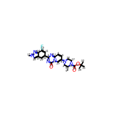 C[C@H]1CN(c2ccc3nc(-c4cc(F)c5nn(C)cc5c4)nc(=O)n3c2)CCN1C(=O)OC(C)(C)C